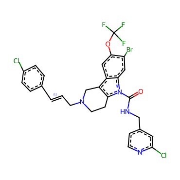 O=C(NCc1ccnc(Cl)c1)n1c2c(c3cc(OC(F)(F)F)c(Br)cc31)CN(C/C=C/c1ccc(Cl)cc1)CC2